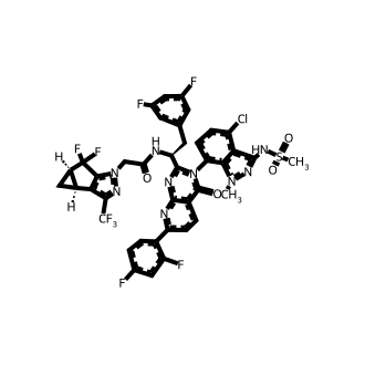 Cn1nc(NS(C)(=O)=O)c2c(Cl)ccc(-n3c([C@H](Cc4cc(F)cc(F)c4)NC(=O)Cn4nc(C(F)(F)F)c5c4C(F)(F)[C@@H]4C[C@H]54)nc4nc(-c5ccc(F)cc5F)ccc4c3=O)c21